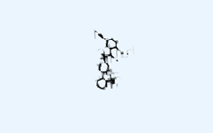 N#Cc1ccc(N)c(C(=N)C(=O)N2CCC(c3ccccc3C(F)(F)F)CC2)c1